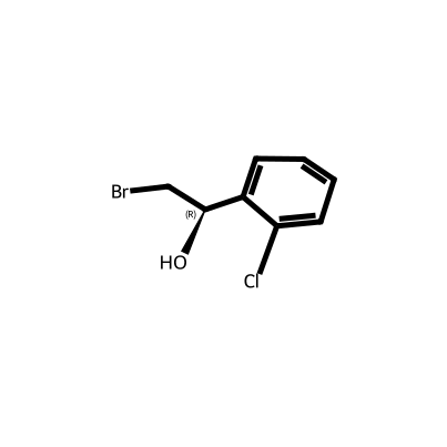 O[C@@H](CBr)c1ccccc1Cl